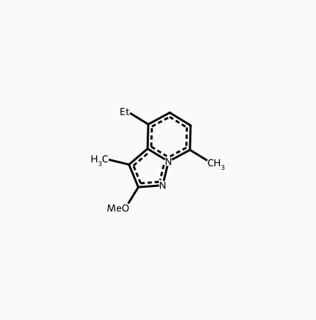 CCc1ccc(C)n2nc(OC)c(C)c12